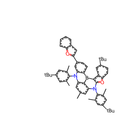 Cc1cc2c3c(c1)N(c1c(C)cc(C(C)(C)C)cc1C)c1oc4ccc(C(C)(C)C)cc4c1B3c1ccc(-c3cc4ccccc4o3)cc1N2c1c(C)cc(C(C)(C)C)cc1C